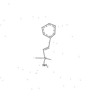 C[Si](C)(N)C=Cc1ccccc1